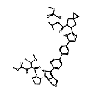 COC(=O)N[C@H](C(=O)N1CC2(CC2)C[C@H]1c1ncc(-c2ccc(-c3ccc(-c4[nH]c([C@@H]5CCCN5C(=O)[C@@H](NC(=O)OC)[C@@H](C)OC)c5c4COC5)cc3)cc2)[nH]1)C(C)C